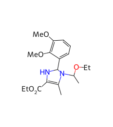 CCOC(=O)C1=C(C)N(C(C)OCC)C(c2cccc(OC)c2OC)N1